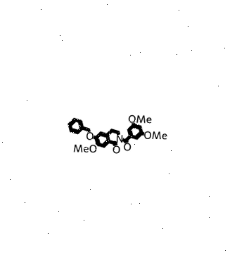 COc1cc(OC)cc(C(=O)N2CCc3cc(OCc4ccccc4)c(OC)cc3C2=O)c1